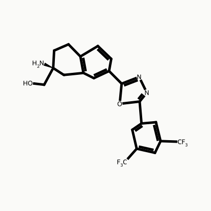 N[C@@]1(CO)CCc2ccc(-c3nnc(-c4cc(C(F)(F)F)cc(C(F)(F)F)c4)o3)cc2C1